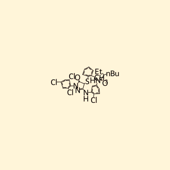 CCCCC(CC)C(=O)Nc1ccc(Cl)c(NC2=NN(c3c(Cl)cc(Cl)cc3Cl)C(=O)C2Sc2ccccc2C)c1